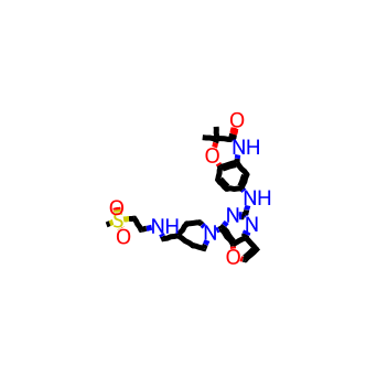 CC1(C)Oc2ccc(Nc3nc(N4CCC(CNCCS(C)(=O)=O)CC4)c4occc4n3)cc2NC1=O